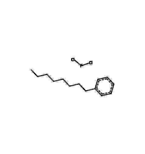 CCCCCCCCc1ccccc1.Cl[P]Cl